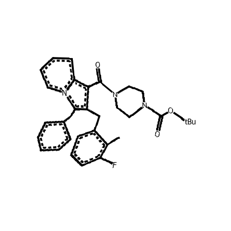 Cc1c(F)cccc1Cc1c(C(=O)N2CCN(C(=O)OC(C)(C)C)CC2)c2ccccn2c1-c1ccccc1